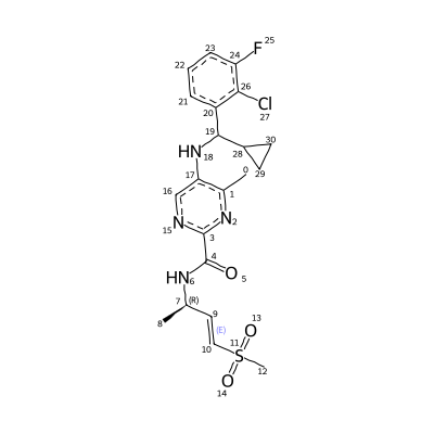 Cc1nc(C(=O)N[C@H](C)/C=C/S(C)(=O)=O)ncc1NC(c1cccc(F)c1Cl)C1CC1